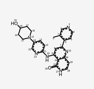 Cc1cnccc1-c1cc(Nc2ccc(N3CCC(O)CC3)cn2)c2c(=O)[nH]ccc2n1